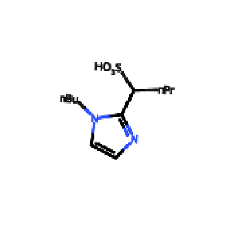 CCCCn1ccnc1C(CCC)S(=O)(=O)O